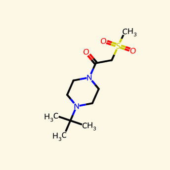 CC(C)(C)N1CCN(C(=O)CS(C)(=O)=O)CC1